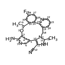 CC1Oc2cc(cnc2N)C2=C(C#N)NC(C)N2Cc2cccnc2-c2ccc(F)cc21